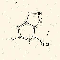 Cc1nc(Cl)c2c(n1)CNC2.Cl